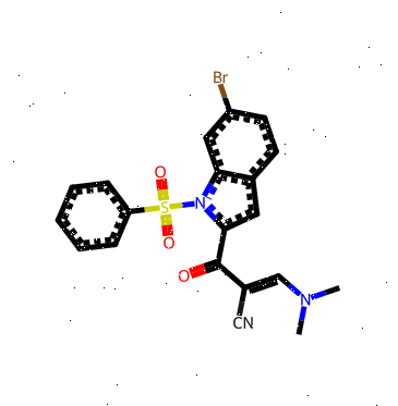 CN(C)C=C(C#N)C(=O)c1cc2ccc(Br)cc2n1S(=O)(=O)c1ccccc1